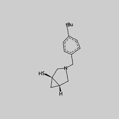 CC(C)(C)c1ccc(CN2C[C@@H]3C[C@]3(S)C2)cc1